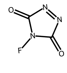 O=C1N=NC(=O)N1F